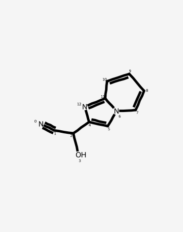 N#CC(O)c1cn2ccccc2n1